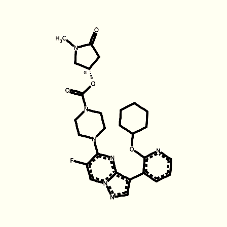 CN1C[C@@H](OC(=O)N2CCN(c3nc4c(-c5cccnc5OC5CCCCC5)cnn4cc3F)CC2)CC1=O